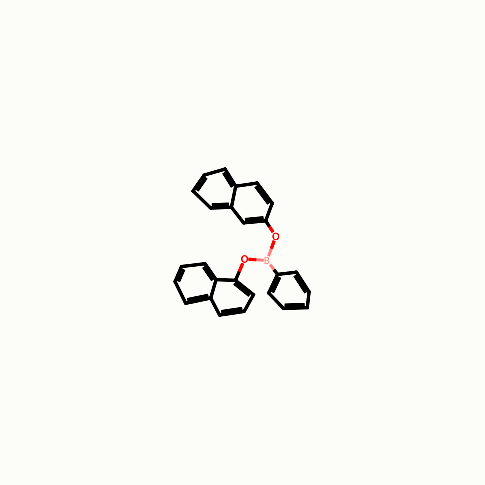 c1ccc(B(Oc2ccc3ccccc3c2)Oc2cccc3ccccc23)cc1